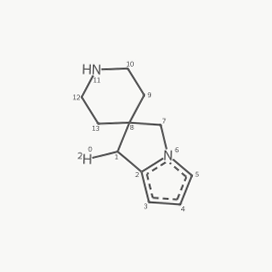 [2H]C1c2cccn2CC12CCNCC2